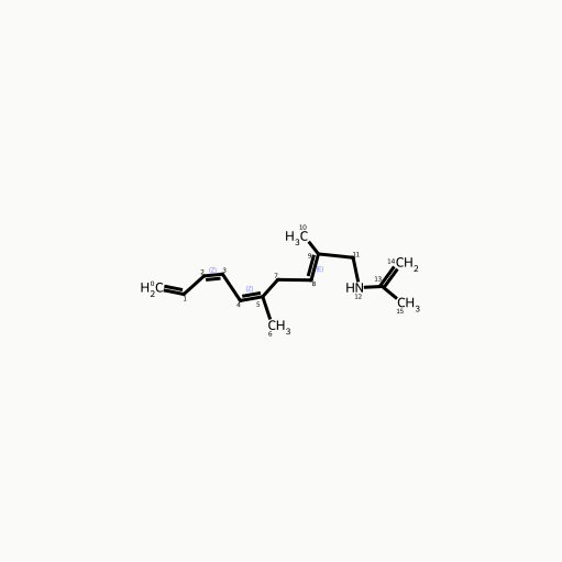 C=C/C=C\C=C(\C)C/C=C(\C)CNC(=C)C